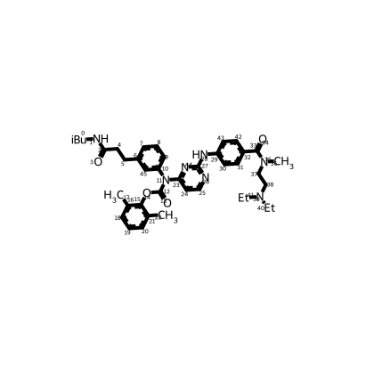 CCC(C)NC(=O)CCc1cccc(N(C(=O)Oc2c(C)cccc2C)c2ccnc(Nc3ccc(C(=O)N(C)CCN(CC)CC)cc3)n2)c1